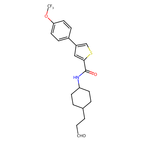 O=CCCC1CCC(NC(=O)c2cc(-c3ccc(OC(F)(F)F)cc3)cs2)CC1